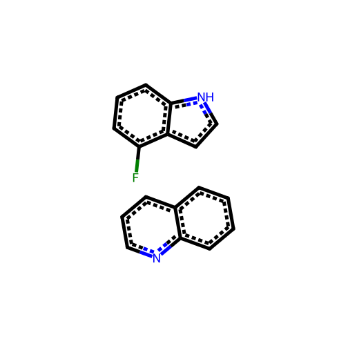 Fc1cccc2[nH]ccc12.c1ccc2ncccc2c1